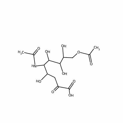 CC(=O)NC(C(O)CC(=O)C(=O)O)C(O)C(O)C(O)COC(C)=O